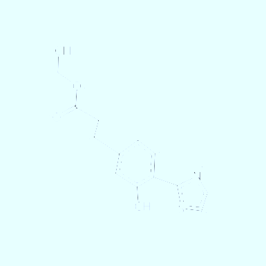 CCOC(=O)CCc1ccc(-c2nccs2)c(C)c1